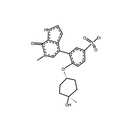 CCS(=O)(=O)c1ccc(O[C@H]2CC[C@](C)(O)CC2)c(-c2cn(C)c(=O)c3[nH]ccc23)c1